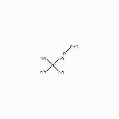 CCC[N+](CCC)(CCC)CCC.O=C[O-]